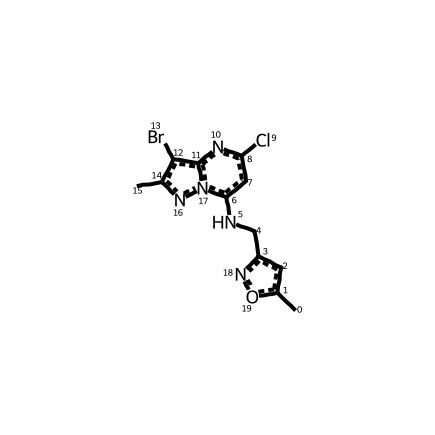 Cc1cc(CNc2cc(Cl)nc3c(Br)c(C)nn23)no1